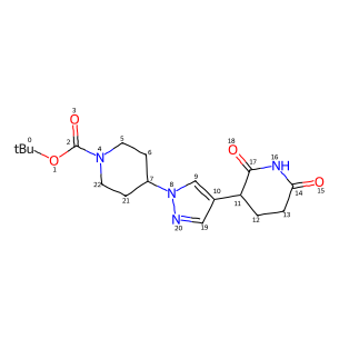 CC(C)(C)OC(=O)N1CCC(n2cc(C3CCC(=O)NC3=O)cn2)CC1